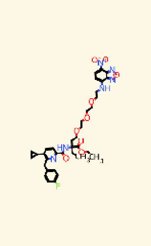 CCOC(=O)[C@@](CC)(CCOCCOCCOCCNc1ccc([N+](=O)[O-])c2nonc12)NC(=O)c1ccc(C2CC2)c(Cc2ccc(F)cc2)n1